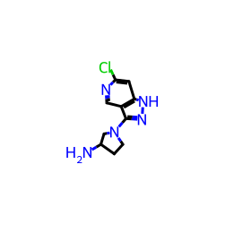 NC1CCN(c2n[nH]c3cc(Cl)ncc23)C1